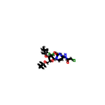 CC(C)(C)[Si](C)(C)OC[C@H]1O[C@@H](n2ccc(NC(=O)CCl)nc2=O)C(F)(F)[C@@H]1O[Si](C)(C)C(C)(C)C